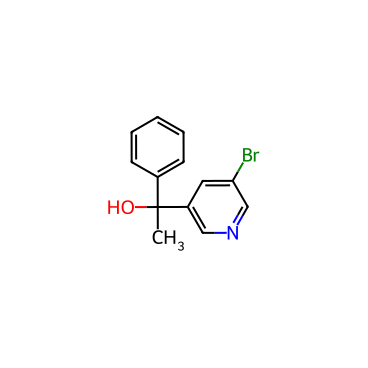 CC(O)(c1ccccc1)c1cncc(Br)c1